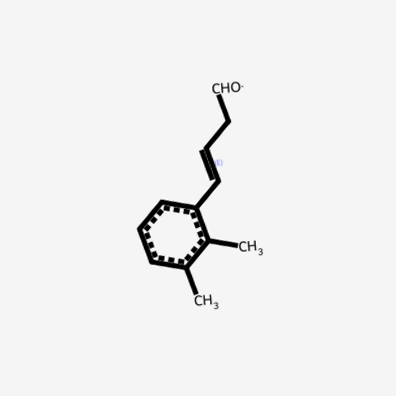 Cc1cccc(/C=C/C[C]=O)c1C